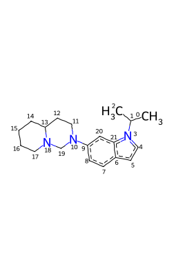 CC(C)n1ccc2ccc(N3CCC4CCCCN4C3)cc21